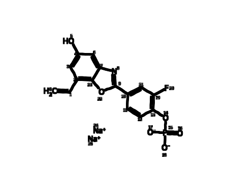 C=Cc1cc(O)cc2nc(-c3ccc(OP(=O)([O-])[O-])c(F)c3)oc12.[Na+].[Na+]